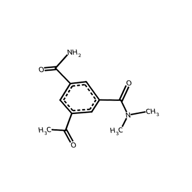 CC(=O)c1cc(C(N)=O)cc(C(=O)N(C)C)c1